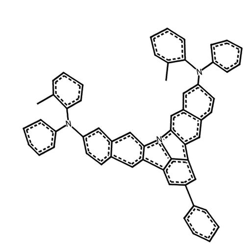 Cc1ccccc1N(c1ccccc1)c1ccc2cc3c4cc(-c5ccccc5)cc5c6cc7ccc(N(c8ccccc8)c8ccccc8C)cc7cc6n(c3cc2c1)c45